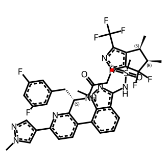 C[C@@H]1c2c(C(F)(F)F)nn(CC(=O)N[C@@H](Cc3cc(F)cc(F)c3)c3nc(-c4cnn(C)c4)ccc3-c3cccc4c(NS(C)(=O)=O)nn(C)c34)c2C(F)(F)[C@@H]1C